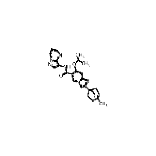 CC(C)Oc1cc2nc(C34CCC(C)(CC3)OC4)cn2cc1C(=O)Nc1cnn2cccnc12